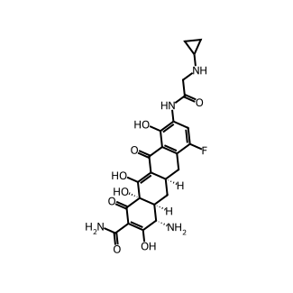 NC(=O)C1=C(O)[C@@H](N)[C@@H]2C[C@@H]3Cc4c(F)cc(NC(=O)CNC5CC5)c(O)c4C(=O)C3=C(O)[C@]2(O)C1=O